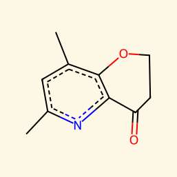 Cc1cc(C)c2c(n1)C(=O)CCO2